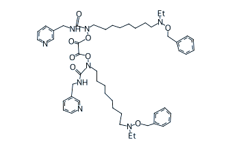 CCN(CCCCCCCCN(OC(=O)C(=O)ON(CCCCCCCCN(CC)OCc1ccccc1)C(=O)NCc1cccnc1)C(=O)NCc1cccnc1)OCc1ccccc1